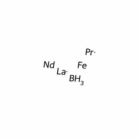 B.[Fe].[La].[Nd].[Pr]